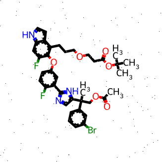 CC(=O)OCC(C)(c1cccc(Br)c1)c1cnc(-c2cc(Oc3c(F)cc4[nH]ccc4c3CCCOCCC(=O)OC(C)(C)C)ccc2F)[nH]1